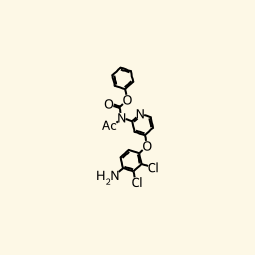 CC(=O)N(C(=O)Oc1ccccc1)c1cc(Oc2ccc(N)c(Cl)c2Cl)ccn1